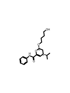 CC(C)[C@H]1C=C(C(=O)Nc2ccccc2)O[C@@H](OCCCCO)C1